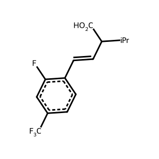 CC(C)C(C=Cc1ccc(C(F)(F)F)cc1F)C(=O)O